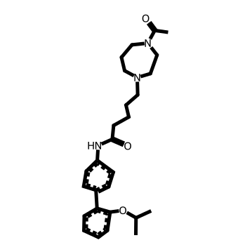 CC(=O)N1CCCN(CCCCC(=O)Nc2ccc(-c3ccccc3OC(C)C)cc2)CC1